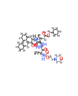 CC(C)[C@H](NC(=O)OCCN1CCOCC1)C(=O)NN[C@H](C(=O)NC(Cc1ccccc1)C(O)CCc1ccccc1)C(C)CC(=O)OCc1ccccc1